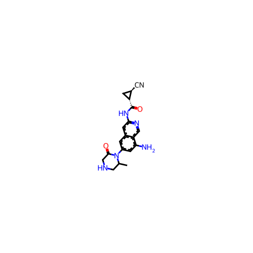 CC1CNCC(=O)N1c1cc(N)c2cnc(NC(=O)[C@@H]3C[C@H]3C#N)cc2c1